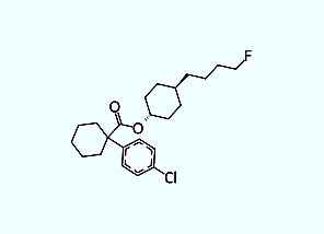 O=C(O[C@H]1CC[C@H](CCCCF)CC1)C1(c2ccc(Cl)cc2)CCCCC1